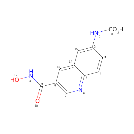 O=C(O)Nc1ccc2ncc(C(=O)NO)cc2c1